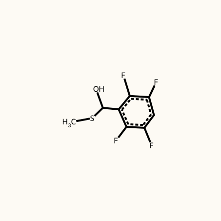 CSC(O)c1c(F)c(F)cc(F)c1F